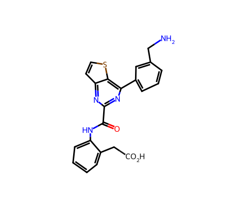 NCc1cccc(-c2nc(C(=O)Nc3ccccc3CC(=O)O)nc3ccsc23)c1